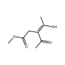 COC(=O)C/C(C(C)=O)=C(\C)O